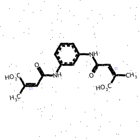 C/C(=C/C(=O)Nc1cccc(NC(=O)/C=C(/C)C(=O)O)c1)C(=O)O